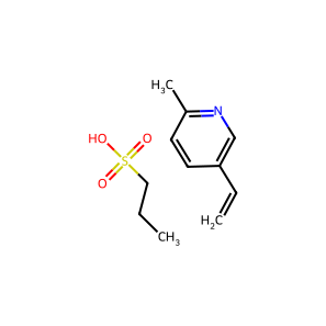 C=Cc1ccc(C)nc1.CCCS(=O)(=O)O